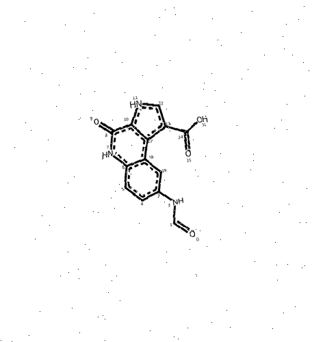 O=CNc1ccc2[nH]c(=O)c3[nH]cc(C(=O)O)c3c2c1